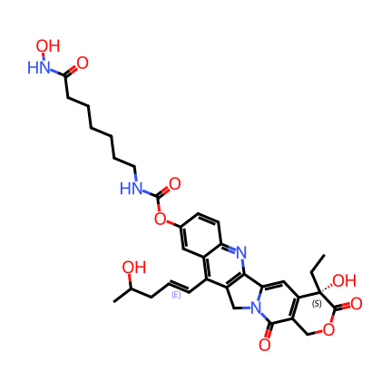 CC[C@@]1(O)C(=O)OCc2c1cc1n(c2=O)Cc2c-1nc1ccc(OC(=O)NCCCCCCC(=O)NO)cc1c2/C=C/CC(C)O